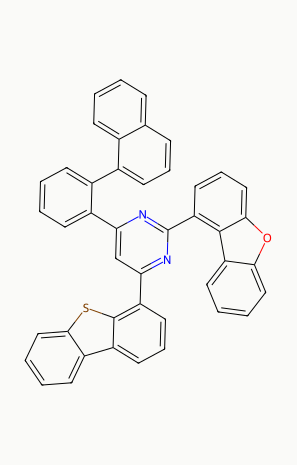 c1ccc(-c2cccc3ccccc23)c(-c2cc(-c3cccc4c3sc3ccccc34)nc(-c3cccc4oc5ccccc5c34)n2)c1